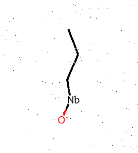 CC[CH2][Nb][O-]